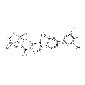 CN(c1ccc(-c2ccc(-c3cc(O)nc(F)c3)cc2O)nn1)[C@H]1C[C@]2(C)CC[C@](C)(C1)C2